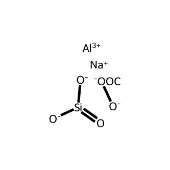 O=C([O-])[O-].O=[Si]([O-])[O-].[Al+3].[Na+]